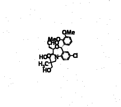 COc1cccc([C@H]2O[C@H](CC=O)C(=O)N(CC(C)(CO)CO)c3ccc(Cl)cc32)c1OC